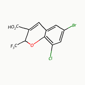 O=C(O)C1=Cc2cc(Br)cc(Cl)c2OC1C(F)(F)F